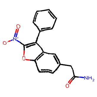 NC(=O)Cc1ccc2oc([N+](=O)[O-])c(-c3ccccc3)c2c1